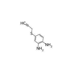 C#CCSc1ccc(N)c(N)c1